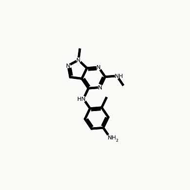 CNc1nc(Nc2ccc(N)cc2C)c2cnn(C)c2n1